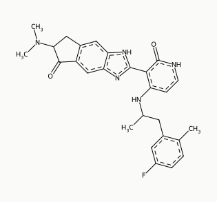 Cc1ccc(F)cc1CC(C)Nc1cc[nH]c(=O)c1-c1nc2cc3c(cc2[nH]1)CC(N(C)C)C3=O